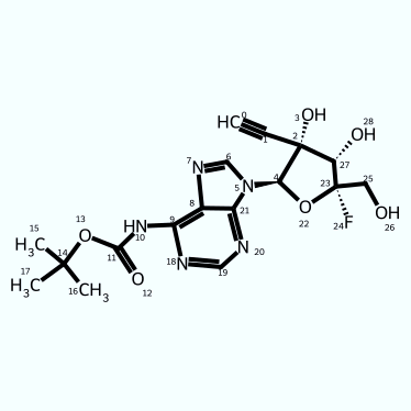 C#C[C@]1(O)[C@H](n2cnc3c(NC(=O)OC(C)(C)C)ncnc32)O[C@](F)(CO)[C@H]1O